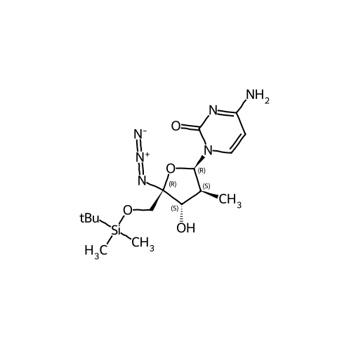 C[C@@H]1[C@H](n2ccc(N)nc2=O)O[C@@](CO[Si](C)(C)C(C)(C)C)(N=[N+]=[N-])[C@H]1O